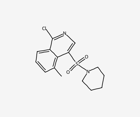 Cc1cccc2c(Cl)ncc(S(=O)(=O)N3CCCCC3)c12